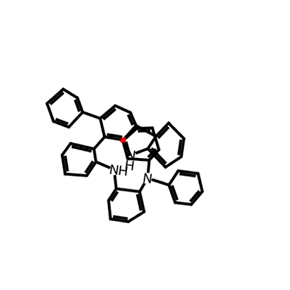 c1ccc(-c2ccc3c([nH]c4ccccc43)c2-c2ccccc2Nc2ccccc2N(c2ccccc2)c2ccccc2)cc1